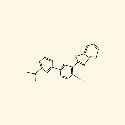 CN(C)c1cccc(-c2cnc(N)c(-c3nc4ccccc4o3)n2)c1